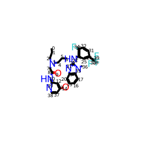 CCCN(CCC)CC(=O)Nc1cc(Oc2ccc3c(c2)nc(Nc2cc(C(F)(F)F)ccc2F)n3C)ccn1